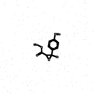 CCC1(c2ccc(OC)cc2)OC1C(=O)OC(C)(C)C